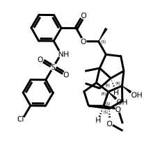 CC[C@@H]1C2CC([C@H](C)OC(=O)c3ccccc3NS(=O)(=O)c3ccc(Cl)cc3)C1(C)C1CC3[C@@H](OC)C[C@]2(O)[C@]1(O)[C@H]3OC